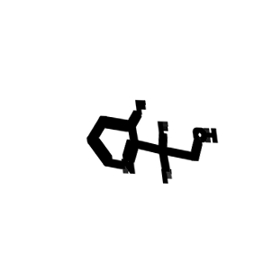 OCC(F)(F)c1ncccc1F